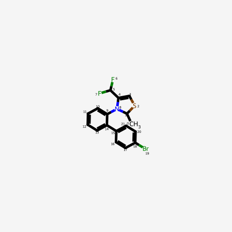 CC1SC=C(C(F)F)N1c1ccccc1-c1ccc(Br)cc1